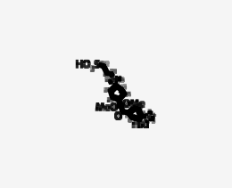 CCCC[N+](C)(C)c1ccc(C(=O)C(OC)(OC)c2ccc([N+](C)(C)CCCS(=O)(=O)O)cc2)cc1